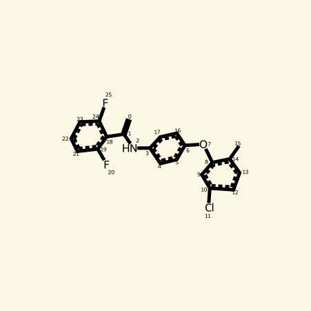 C=C(Nc1ccc(Oc2cc(Cl)ccc2C)cc1)c1c(F)cccc1F